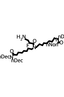 CCCCCCCCCCN(CCCCCCCCN(CCCCCCCC(=O)N(CCCCCCCCCC)CCCCCCCCCC)C(=O)C(F)CCN)C(=O)CCCCCCCCC